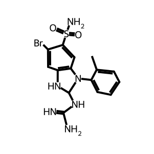 Cc1ccccc1N1c2cc(S(N)(=O)=O)c(Br)cc2NC1NC(=N)N